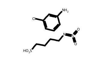 Nc1cccc(Cl)c1.O=S(=O)=NCCCCS(=O)(=O)O